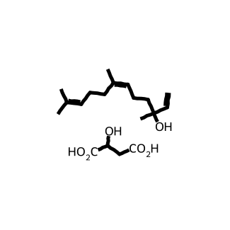 C=CC(C)(O)CCC=C(C)CCC=C(C)C.O=C(O)CC(O)C(=O)O